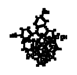 CCCCc1ccc([C](c2ccc(CCCC)cc2)=[Zr]([C]2=CC=CC2)[CH]2C3C=CC=C(C)C3(C)C3(C)C4(C)C=CC=CC4(C)C4(C)C=CC=CC4(C)C23C)cc1.Cl.Cl